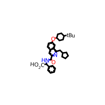 CC(C)(C)C1CCC(Oc2ccc3cc(C(=O)NC(C(=O)O)c4ccccc4)nc(CC4CCCC4)c3c2)CC1